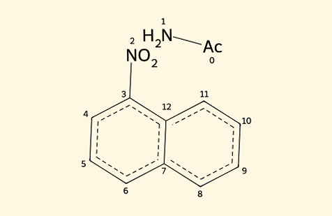 CC(N)=O.O=[N+]([O-])c1cccc2ccccc12